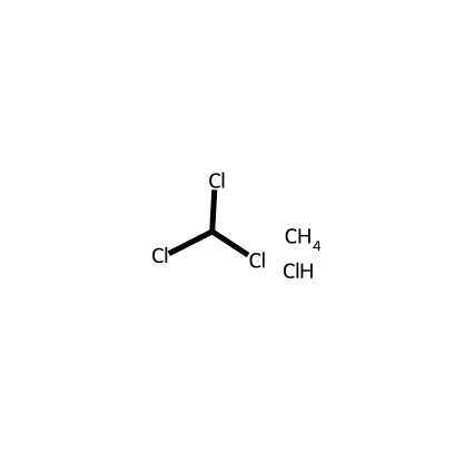 C.Cl.ClC(Cl)Cl